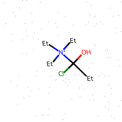 CCC(O)(Cl)[N+](CC)(CC)CC